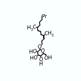 CC(=CCCOC1OC(CO)C(O)C(O)C1O)CCCC(C)CCCC(C)C